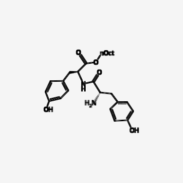 CCCCCCCCOC(=O)[C@H](Cc1ccc(O)cc1)NC(=O)[C@@H](N)Cc1ccc(O)cc1